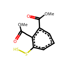 COC(=O)c1cccc(SS)c1C(=O)OC